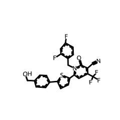 N#Cc1c(C(F)(F)F)cc(-c2ccc(-c3ccc(CO)cc3)s2)n(Cc2ccc(F)cc2F)c1=O